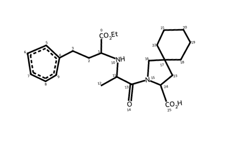 CCOC(=O)C(CCc1ccccc1)NC(C)C(=O)N1CC2(CCCCC2)CC1C(=O)O